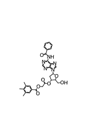 Cc1cc(C(=O)OCC(=O)OC2CC(n3cnc4c(NC(=O)c5ccccc5)ncnc43)OC2CO)cc(C)c1C